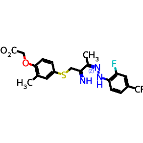 C/C(=N/Nc1ccc(C(F)(F)F)cc1F)C(=N)CSc1ccc(OCC(=O)O)c(C)c1